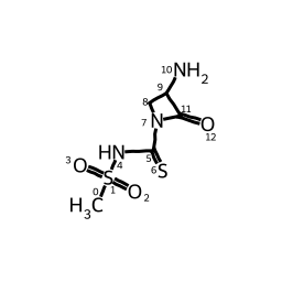 CS(=O)(=O)NC(=S)N1CC(N)C1=O